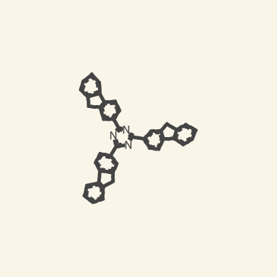 c1ccc2c(c1)Cc1cc(-c3nc(-c4ccc5c(c4)Cc4ccccc4-5)nc(-c4ccc5c(c4)Cc4ccccc4-5)n3)ccc1-2